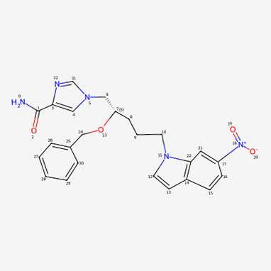 NC(=O)c1cn(C[C@H](CCCn2ccc3ccc([N+](=O)[O-])cc32)OCc2ccccc2)cn1